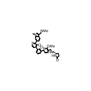 CNCc1cn(C)c2cc(-c3nccc(-c4cccc(-c5ccc(CNC[C@H]6CCC(=O)N6)c(OC)n5)c4Cl)c3Cl)ccc12